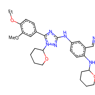 CCOc1ccc(-c2nc(Nc3ccc(NC4CCCCO4)c(C=N)c3)nn2C2CCCCO2)cc1OC